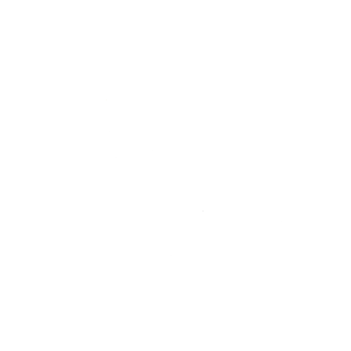 CC1(C)c2c(cccc2-c2c3ccccc3c(-c3cccc4sc5ccccc5c34)c3ccccc23)-c2ccc3ccccc3c21